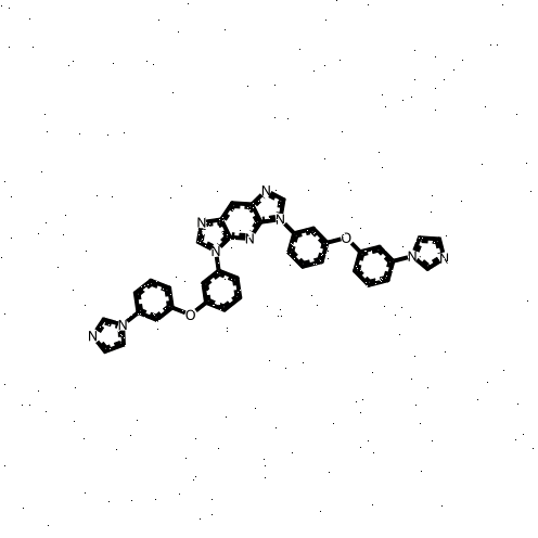 c1cc(Oc2cccc(-n3cnc4cc5ncn(-c6cccc(Oc7cccc(-n8ccnc8)c7)c6)c5nc43)c2)cc(-n2ccnc2)c1